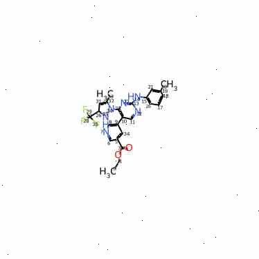 CCOC(=O)c1cncc(-c2cnc(Nc3cccc(C)c3)nc2N2NC(C(F)(F)F)C=C2C)c1